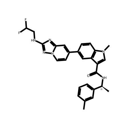 Cc1cccc([C@H](C)NC(=O)c2cn(C)c3ccc(-c4ccn5nc(NCC(F)F)nc5c4)cc23)c1